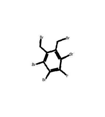 Fc1c(Br)c(Br)c(CBr)c(CBr)c1Br